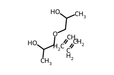 C=C.C=C.CC(O)COCC(C)O